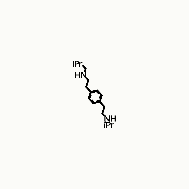 CC(C)CNCCc1ccc(CCNC(C)C)cc1